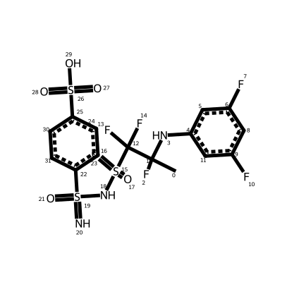 CC(F)(Nc1cc(F)cc(F)c1)C(F)(F)S(=O)(=O)NS(=N)(=O)c1ccc(S(=O)(=O)O)cc1